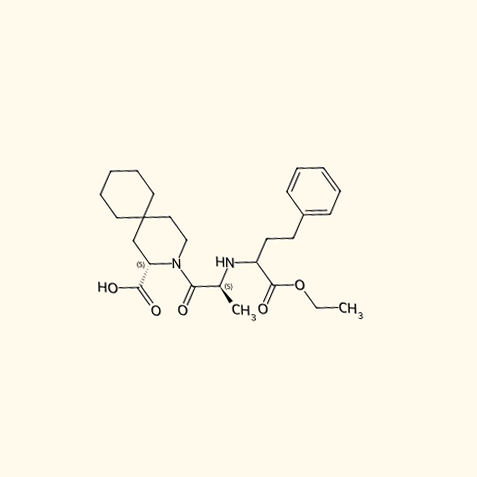 CCOC(=O)C(CCc1ccccc1)N[C@@H](C)C(=O)N1CCC2(CCCCC2)C[C@H]1C(=O)O